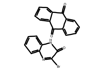 O=C1c2ccccc2C(=O)c2ccccc21.O=c1[nH]c2ccccc2nc1Br